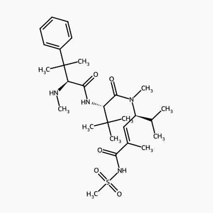 CN[C@H](C(=O)N[C@H](C(=O)N(C)[C@H](C=C(C)C(=O)NS(C)(=O)=O)C(C)C)C(C)(C)C)C(C)(C)c1ccccc1